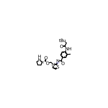 Cc1cc(C(=O)/N=c2\sccn2COC(=O)[C@@H]2CCCN2)ccc1NC(=O)CC(C)(C)C